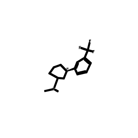 CN(C)C1CCC[C@@H](c2cccc(C(F)(F)F)c2)C1